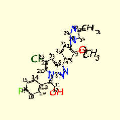 COc1cc(-c2nnc3n(C(CO)c4ccc(F)cc4)cc(Cl)cc2-3)ccc1-n1cnc(C)c1